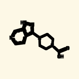 O=C(O)N1CCN(c2n[nH]c3cnccc23)CC1